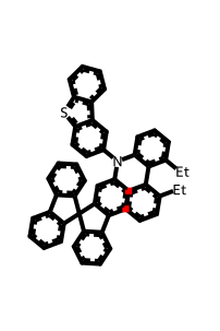 CCc1ccccc1-c1c(CC)cccc1N(c1ccc2c(c1)C1(c3ccccc3-c3ccccc31)c1ccccc1-2)c1ccc2sc3ccccc3c2c1